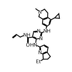 C=CCNC(=O)c1cnc(Nc2cc3c(c(C4CC4)c2)CCN(C)C3)nc1Nc1ccc2c(n1)C(CC)CC2